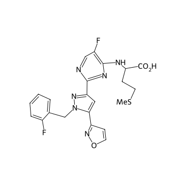 CSCCC(Nc1nc(-c2cc(-c3ccon3)n(Cc3ccccc3F)n2)ncc1F)C(=O)O